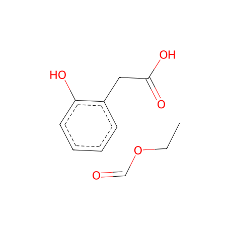 CCOC=O.O=C(O)Cc1ccccc1O